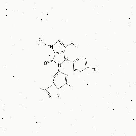 CCc1nn(C2CC2)c2c1[C@H](c1ccc(Cl)cc1)N(c1cc(C)c3nnc(C)n3c1)C2=O